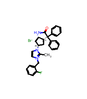 Cc1n([C@@H]2CC[C@H](C(C(N)=O)(c3ccccc3)c3ccccc3)C2)cc[n+]1Cc1ccccc1F.[Br-]